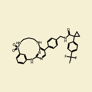 O=C(NCc1ccc(-c2cnc3nc2NCCCNS(=O)(=O)c2cccc(c2)N3)cc1)C1(c2ccc(C(F)(F)F)cc2)CC1